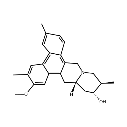 COc1cc2c3c(c4ccc(C)cc4c2cc1C)CN1C[C@@H](C)[C@H](O)C[C@@H]1C3